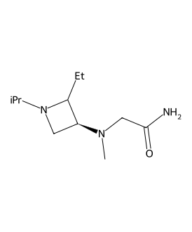 CCC1[C@@H](N(C)CC(N)=O)CN1C(C)C